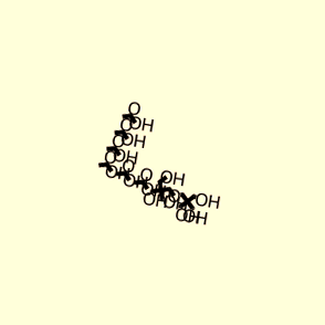 CC(=O)O.CC(=O)O.CC(=O)O.CC(=O)O.CC(=O)O.CC(=O)O.OCC(CO)(CO)COCC(CO)(CO)CO